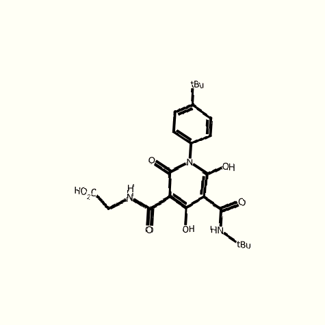 CC(C)(C)NC(=O)c1c(O)c(C(=O)NCC(=O)O)c(=O)n(-c2ccc(C(C)(C)C)cc2)c1O